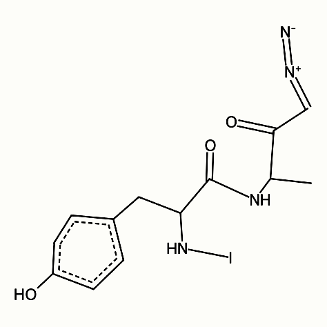 CC(NC(=O)C(Cc1ccc(O)cc1)NI)C(=O)C=[N+]=[N-]